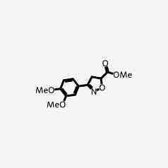 COC(=O)C1CC(c2ccc(OC)c(OC)c2)=NO1